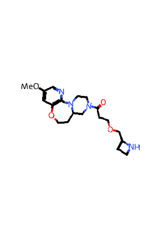 COc1cnc2c(c1)OCCC1CN(C(=O)CCOCC3CCN3)CCN21